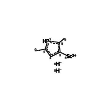 Cc1c[c]([Sc+2])c(C)[pH]1.[H-].[H-]